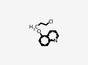 CCCCl.[O]c1cccc2ncccc12